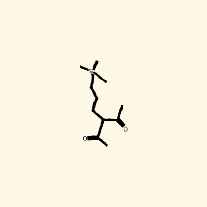 CC(=O)C(CCC[Si](C)(C)C)C(C)=O